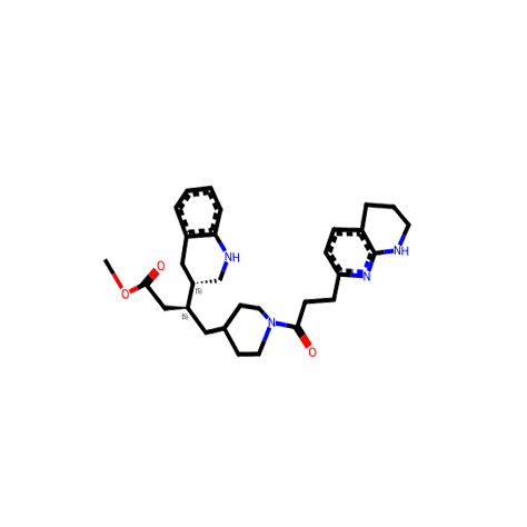 COC(=O)C[C@H](CC1CCN(C(=O)CCc2ccc3c(n2)NCCC3)CC1)[C@H]1CNc2ccccc2C1